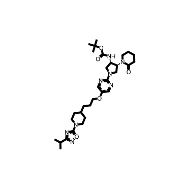 CC(C)c1noc(N2CCC(CCCOc3cnc(N4C[C@H](NC(=O)OC(C)(C)C)[C@H](N5CCCCC5=O)C4)nc3)CC2)n1